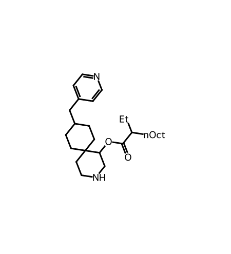 CCCCCCCCC(CC)C(=O)OC1CNCCC12CCC(Cc1ccncc1)CC2